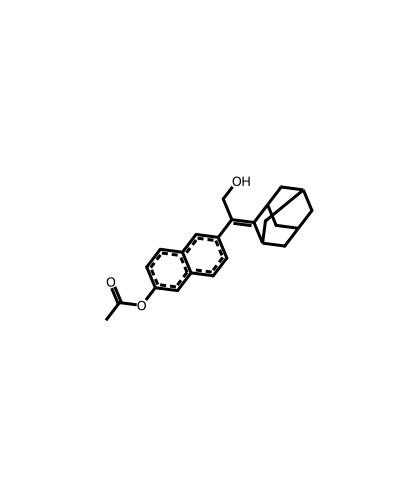 CC(=O)Oc1ccc2cc(C(CO)=C3C4CC5CC(C4)CC3C5)ccc2c1